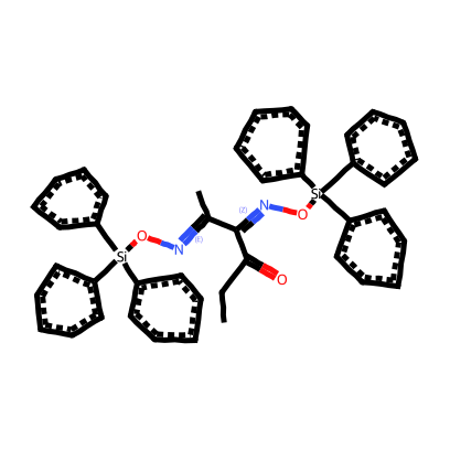 CCC(=O)C(=N\O[Si](c1ccccc1)(c1ccccc1)c1ccccc1)/C(C)=N/O[Si](c1ccccc1)(c1ccccc1)c1ccccc1